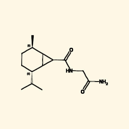 CC(C)[C@@H]1CC[C@@H](C)C2C(C(=O)NCC(N)=O)C21